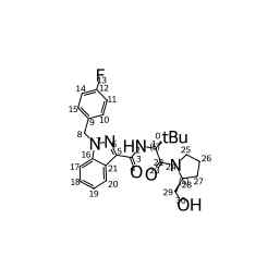 CC(C)(C)[C@H](NC(=O)c1nn(Cc2ccc(F)cc2)c2ccccc12)C(=O)N1CCC[C@H]1CO